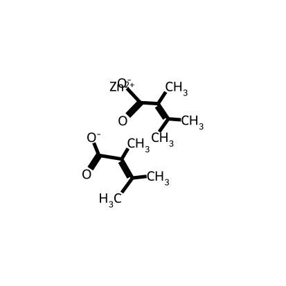 CC(C)=C(C)C(=O)[O-].CC(C)=C(C)C(=O)[O-].[Zn+2]